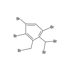 BrCc1c(Br)c(Br)cc(Br)c1C(Br)Br